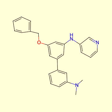 CN(C)c1cccc(-c2cc(Nc3cccnc3)cc(OCc3ccccc3)c2)c1